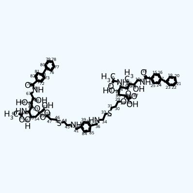 CC(=O)N[C@H]1[C@H]([C@H](C)[C@H](O)CNC(=O)c2ccc(-c3ccccc3)cc2)O[C@@](OCCCSCCNCc2ccc(CNCCSCCCO[C@]3(C(=O)O)C[C@H](O)[C@@H](NC(C)=O)[C@H]([C@H](O)[C@H](O)CNC(=O)c4ccc(-c5ccccc5)cc4)O3)cc2)(C(=O)O)C[C@@H]1O